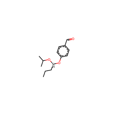 CCC[SiH](Oc1ccc(C=O)cc1)OC(C)C